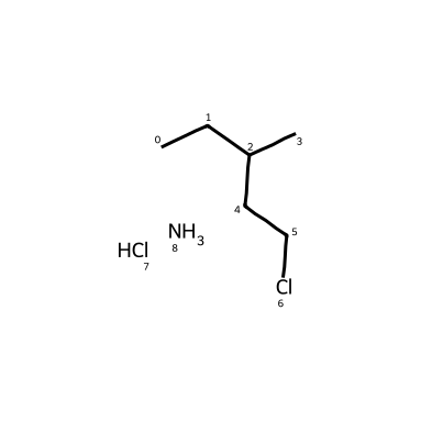 CCC(C)CCCl.Cl.N